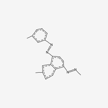 C/N=N/c1ccc(/N=N/c2cccc(C)c2)c2cc(C)ccc12